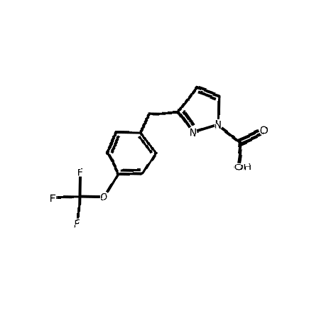 O=C(O)n1ccc(Cc2ccc(OC(F)(F)F)cc2)n1